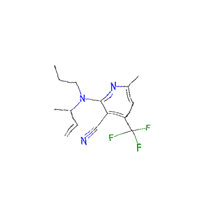 C=CC(C)N(CCC)c1nc(C)cc(C(F)(F)F)c1C#N